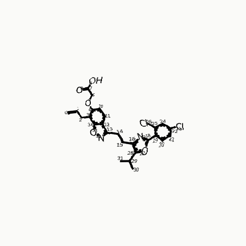 C=CCc1c(OCC(=O)O)ccc2c(CCc3nc(-c4ccc(Cl)cc4Cl)oc3C(C)C)noc12